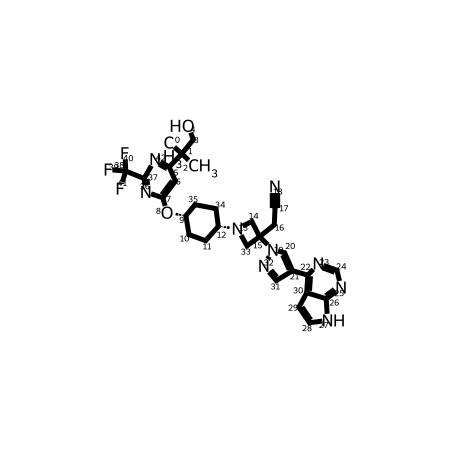 CC(C)(CO)c1cc(O[C@H]2CC[C@@H](N3CC(CC#N)(n4cc(-c5ncnc6[nH]ccc56)cn4)C3)CC2)nc(C(F)(F)F)n1